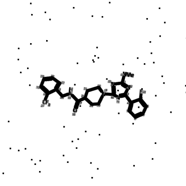 CNc1nc(-c2ccccc2F)nc(N2CCC(C(=O)NCc3ccccc3C(F)(F)F)CC2)n1